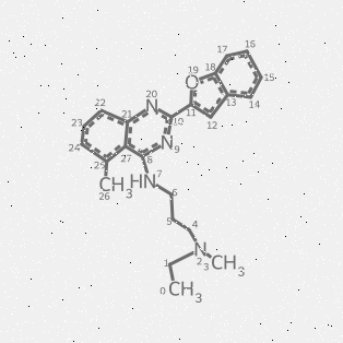 CCN(C)CCCNc1nc(-c2cc3ccccc3o2)nc2cccc(C)c12